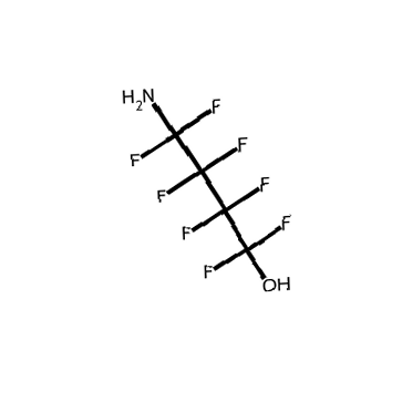 NC(F)(F)C(F)(F)C(F)(F)C(O)(F)F